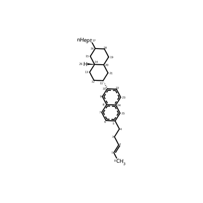 C/C=C/CCc1ccc2cc([C@@H]3CC[C@@H]4CC(CCCCCCC)CCC4C3)ccc2c1